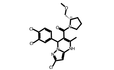 COC[C@@H]1CCCN1C(=O)C1=C(C)Nc2cc(Cl)nn2C1c1ccc(Cl)c(Cl)c1